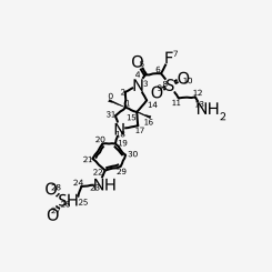 C[C@@]12CN(C(=O)C(F)S(=O)(=O)CCN)C[C@]1(C)CN(c1ccc(NCC[SH](=O)=O)cc1)C2